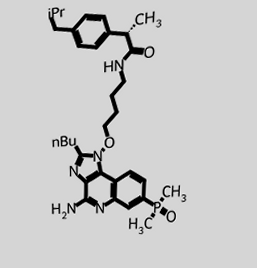 CCCCc1nc2c(N)nc3cc(P(C)(C)=O)ccc3c2n1OCCCCNC(=O)[C@@H](C)c1ccc(CC(C)C)cc1